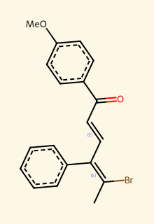 COc1ccc(C(=O)/C=C/C(=C(/C)Br)c2ccccc2)cc1